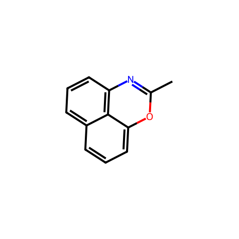 CC1=Nc2cccc3cccc(c23)O1